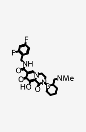 CNCC1CCCCB1N1CCn2cc(C(=O)NCc3ccc(F)cc3F)c(=O)c(O)c2C1=O